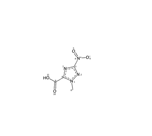 Cn1nc([N+](=O)[O-])nc1C(=O)O